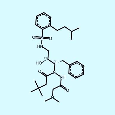 CC(C)CCc1ccccc1S(=O)(=O)NC[C@@H](O)[C@H](Cc1ccccc1)N(NC(=O)CN(C)C)C(=O)CC(C)(C)C